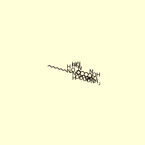 CCCCCCCCCCCNCC(=O)Nc1cc(N(C)C)c2c(c1O)C(=O)C1=C(O)C3(O)C(=O)C(C(N)=O)=C(O)[C@@H](N(C)C)C3CC1C2.Cl.Cl